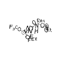 CCC(F)(F)OC[C@H]1CC[C@@H](c2ccc(C(F)(F)F)cc2)CN1c1ncc(C(=O)N[C@@H](CO)c2ccc(S(=O)(=O)CC)cc2)cn1